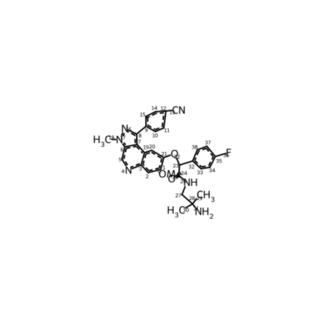 COc1cc2ncc3c(c(-c4ccc(C#N)cc4)nn3C)c2cc1OC(C(=O)NCC(C)(C)N)c1ccc(F)cc1